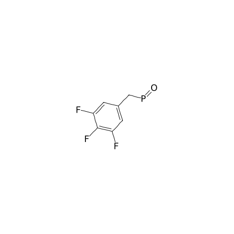 O=PCc1cc(F)c(F)c(F)c1